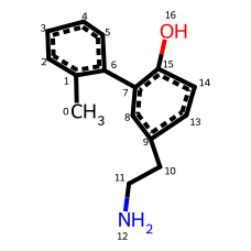 Cc1ccccc1-c1cc(CCN)ccc1O